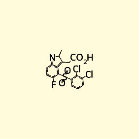 CC1N=c2ccc(F)c(S(=O)(=O)c3cccc(Cl)c3Cl)c2=C1CC(=O)O